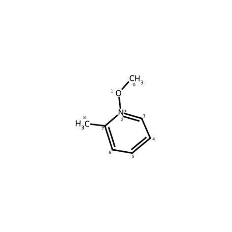 CO[n+]1ccccc1C